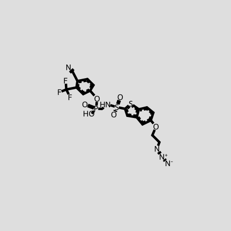 N#Cc1ccc(OP(=O)(O)CNS(=O)(=O)c2cc3cc(OCCN=[N+]=[N-])ccc3s2)cc1C(F)(F)F